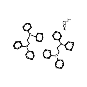 [C]=O.[Cl-].[Ir+].c1ccc(P(CCP(c2ccccc2)c2ccccc2)c2ccccc2)cc1.c1ccc(P(CCP(c2ccccc2)c2ccccc2)c2ccccc2)cc1